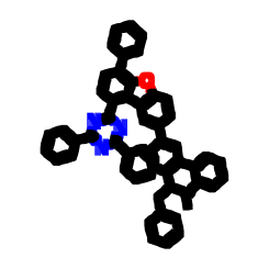 CCC(Cc1ccccc1)c1ccc(-c2ccc3oc4c(-c5ccccc5)ccc(-c5nc(-c6ccccc6)nc(-c6ccccc6)n5)c4c3c2)cc1-c1ccccc1C